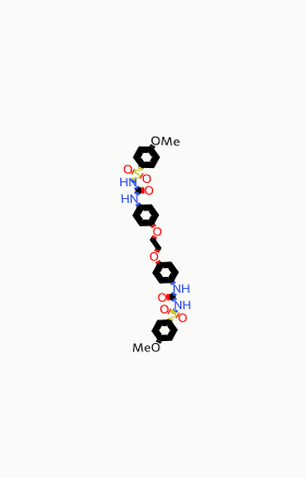 COc1ccc(S(=O)(=O)NC(=O)Nc2ccc(OCCOc3ccc(NC(=O)NS(=O)(=O)c4ccc(OC)cc4)cc3)cc2)cc1